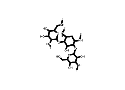 OCC1OC(OC2C(NF)CC(NF)C(OC3OC(CNF)C(O)C(O)C3NF)C2O)C(O)C(NF)C1O